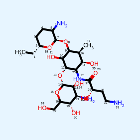 CC[C@@H]1CCC(N)[C@@H](OC2C(O)[C@@H](O[C@H]3OC(CO)[C@@H](O)[C@H](N)C3O)C(NC(=O)[C@@H](O)CCN)[C@H](O)[C@@H]2C)O1